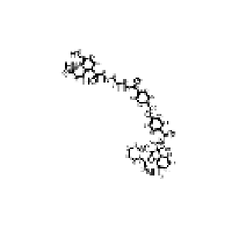 NCCC1CCCC[C@@H]1OC(=O)C1(c2ccccc2)CN(C(=O)c2ccc(OCc3ccc(C(=O)NCCCNC[C@H](O)c4ccc(O)c5[nH]c(=O)ccc45)cc3)cc2)C1